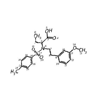 CC[C@@H](C(=O)O)N(CCc1cccc(OC)c1)S(=O)(=O)c1ccc(C)cc1